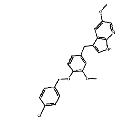 COc1cnc2[nH]cc(Cc3ccc(OCc4ccc(Cl)cc4)c(OC)c3)c2c1